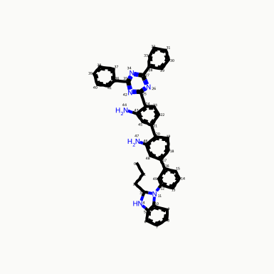 CCCC1Nc2ccccc2N1c1cccc(-c2ccc(-c3ccc(-c4nc(-c5ccccc5)nc(-c5ccccc5)n4)c(N)c3)c(N)c2)c1